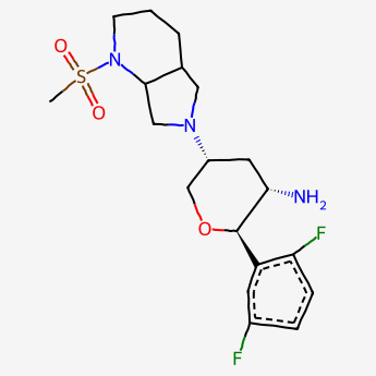 CS(=O)(=O)N1CCCC2CN([C@H]3CO[C@H](c4cc(F)ccc4F)[C@@H](N)C3)CC21